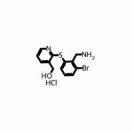 Cl.NCc1c(Br)cccc1Sc1ncccc1CO